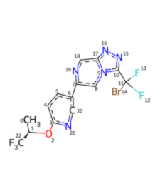 C[C@@H](Oc1ccc(-c2cn3c(C(F)(F)Br)nnc3cn2)cn1)C(F)(F)F